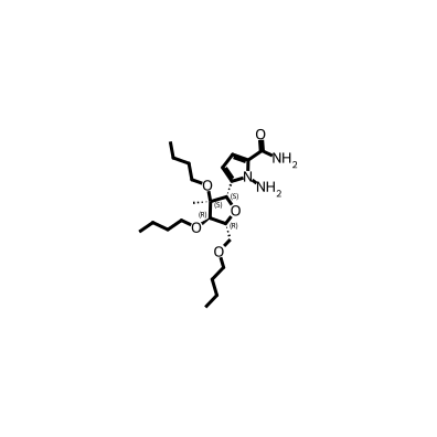 CCCCOC[C@H]1O[C@@H](c2ccc(C(N)=O)n2N)[C@](C)(OCCCC)[C@@H]1OCCCC